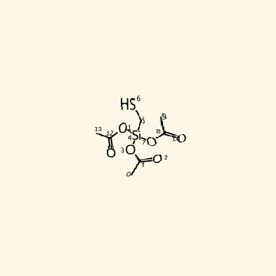 CC(=O)O[Si](CS)(OC(C)=O)OC(C)=O